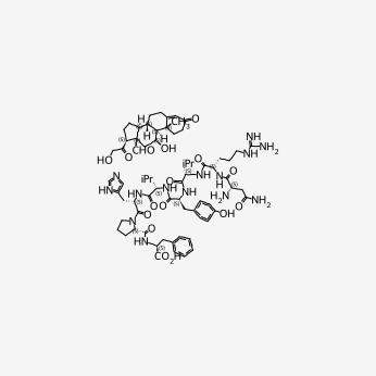 CC(C)[C@H](NC(=O)[C@H](CCCNC(=N)N)NC(=O)[C@@H](N)CC(N)=O)C(=O)N[C@@H](Cc1ccc(O)cc1)C(=O)N[C@H](C(=O)N[C@@H](Cc1cnc[nH]1)C(=O)N1CCC[C@H]1C(=O)N[C@@H](Cc1ccccc1)C(=O)O)C(C)C.C[C@]12CCC(=O)C=C1CC[C@@H]1[C@@H]2[C@@H](O)C[C@]2(C=O)[C@@H](C(=O)CO)CC[C@@H]12